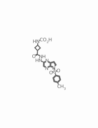 Cc1ccc(S(=O)(=O)n2ccc3nc(NNC(=O)C4CC(NC(=O)O)C4)cnc32)cc1